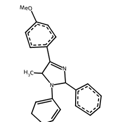 COc1ccc(C2=NC(c3ccccc3)N(C3=CCCC=C3)C2C)cc1